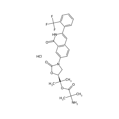 CC(C)(N)C(=O)OC(C)(C)[C@@H]1CN(c2ccc3cc(-c4ccccc4C(F)(F)F)[nH]c(=O)c3c2)C(=O)O1.Cl